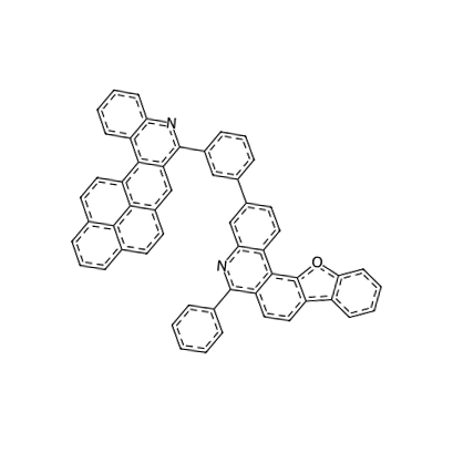 c1ccc(-c2nc3cc(-c4cccc(-c5nc6ccccc6c6c5cc5ccc7cccc8ccc6c5c78)c4)ccc3c3c2ccc2c4ccccc4oc23)cc1